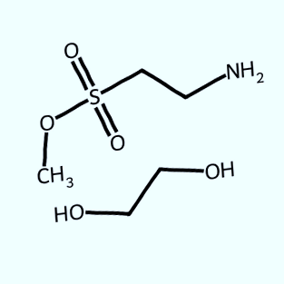 COS(=O)(=O)CCN.OCCO